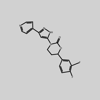 O=C1OC(c2ccc(F)c(F)c2)CCN1c1cc(-c2ccncc2)n[nH]1